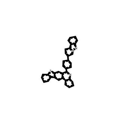 c1ccc2c(c1)nc(-c1ccc(-c3ccc4c5ccccc5nn4c3)cc1)c1cc3sc4ccccc4c3cc12